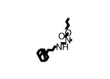 CCCCOC(=O)N(C)CCNCCCC12CC3CC(CC(C3)C1)C2